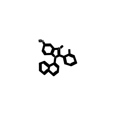 Cc1ccccc1-c1n(-c2cccc3ccccc23)c2ccc(C(C)(C)C)cc2[n+]1C